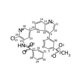 CS(=O)(=O)c1cccc(-c2ccnc3ccc(-c4cnc(Cl)c(NS(=O)(=O)c5ccccc5)c4)cc23)c1